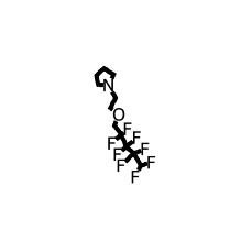 FC(F)C(F)(F)C(F)(F)C(F)(F)COCCN1CCCC1